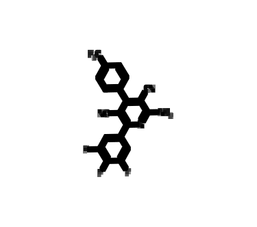 N#Cc1c(N)nc(-c2cc(F)c(F)c(F)c2)c(C#N)c1-c1ccc(C(F)(F)F)cc1